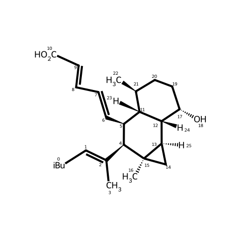 CCC(C)/C=C(\C)[C@H]1[C@@H](/C=C/C=C/C(=O)O)[C@H]2[C@@H]([C@H]3C[C@]31C)[C@@H](O)CC[C@@H]2C